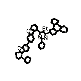 CCC1C(c2ccc3c4ccccc4c4ccccc4c3c2)=NC(c2ccccc2)=NC1c1cccc2oc3cc(-c4ccc5c(c4)oc4cccc(-c6ccccc6)c45)ccc3c12